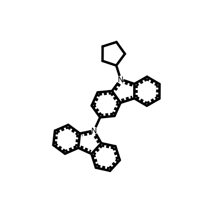 c1ccc2c(c1)c1ccccc1n2-c1ccc2c(c1)c1ccccc1n2C1CCCC1